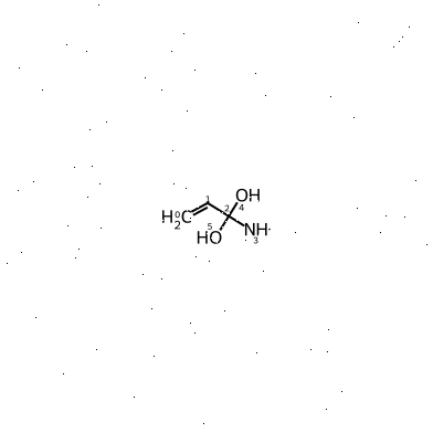 C=CC([NH])(O)O